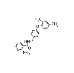 Cc1ccc(Oc2ccc(CNC(=O)c3cccnc3N)cc2)c(C)c1